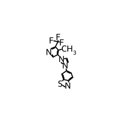 Cc1c(N2C=CN(c3ccc4ncsc4c3)C2)cncc1C(F)(F)F